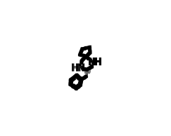 c1ccc(C[C@H]2CNC3(CCCC3)CN2)cc1